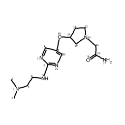 CN(C)CCNc1ncc(OC2CCN(CC(N)=O)C2)cn1